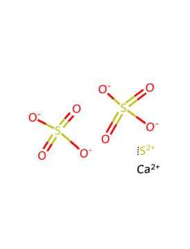 O=S(=O)([O-])[O-].O=S(=O)([O-])[O-].[Ca+2].[S+2]